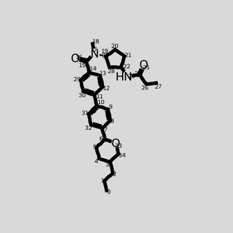 CCCC1CCC(c2ccc(-c3ccc(C(=O)N(C)[C@@H]4CCC(NC(=O)CC)C4)cc3)cc2)OC1